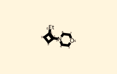 CCC1=C(N2CCOCC2)CC1